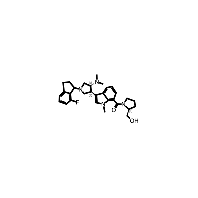 CN(C)[C@H]1CN(C2CCc3cccc(F)c32)C[C@@H]1c1cn(C)c2c(C(=O)N3CCC[C@H]3CO)cccc12